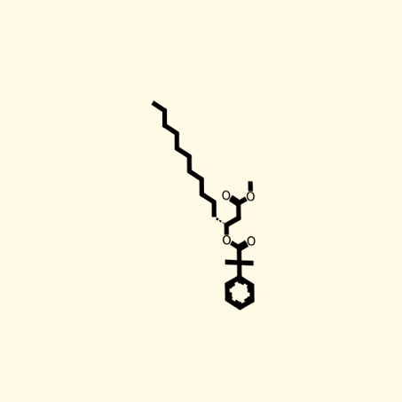 CCCCCCCCCCC[C@H](CC(=O)OC)OC(=O)C(C)(C)c1ccccc1